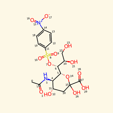 CC(=O)N[C@H]1[C@H]([C@H](OS(=O)(=O)c2ccc([N+](=O)[O-])cc2)[C@H](O)CO)OC(O)(C(=O)O)C[C@@H]1O